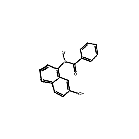 CCN(C(=O)c1ccccc1)c1cccc2ccc(O)cc12